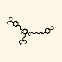 COC(=O)CCc1nc(CCc2ccc(C(=O)OC)cc2)ccc1OCCCC/C=C/c1ccc(OC)cc1